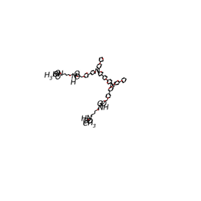 COC(=O)NCCCCCCNC(=O)OCCc1ccc(-c2ccc(N(c3ccc(-c4ccccc4)cc3)c3ccc(-c4ccc(-c5ccc(N(c6ccc(-c7ccccc7)cc6)c6ccc(-c7ccc(CCOC(=O)NCCCCCCNC(=O)OC)cc7)cc6)cc5)cc4)cc3)cc2)cc1